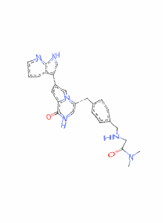 CN(C)C(=O)CNCc1ccc(Cc2c[nH]c(=O)c3cc(-c4c[nH]c5ncccc45)cn23)cc1